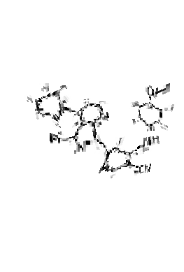 CC(C)c1nn(-c2ccc(C#N)c(N[C@H]3CC[C@H](O)CC3)c2)c2nccc(-c3cccnc3)c12